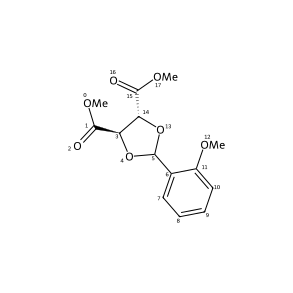 COC(=O)[C@@H]1OC(c2ccccc2OC)O[C@H]1C(=O)OC